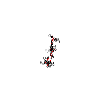 Cc1ncsc1-c1ccc([C@H](C)NC(=O)[C@@H]2C[C@@H](O)CN2C(=O)[C@@H](NC(=O)CCCCCCC(=O)N2CCCN(CC[C@H](CSc3ccccc3)Nc3ccc(S(=O)(=O)NC(=O)c4ccc(N5CCN(CC6=C(c7ccc(Cl)cc7)CCC(C)(C)C6)CC5)cc4)cc3S(=O)(=O)C(F)(F)F)CC2)C(C)(C)C)cc1